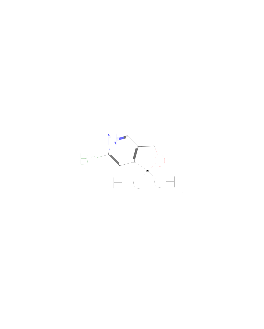 CC1(C)OCc2cnc(Br)cc21